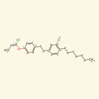 C/C=C(/Cl)Oc1ccc(CCc2ccc(CCCCCCC)c(Cl)c2)cc1